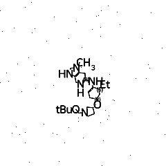 CC[C@H]1C[C@@H](OC2CCN(COC(C)(C)C)C2)CC=C1N[C@@H]1CC2=C(CN1)NCN2C